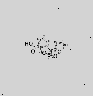 Cc1c(C(=O)O)cccc1N(c1ccccc1)S(C)(=O)=O